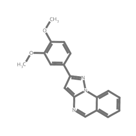 COc1ccc(-c2cc3ncc4ccccc4n3n2)cc1OC